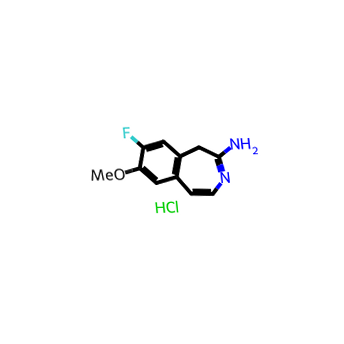 COc1cc2c(cc1F)CC(N)=NC=C2.Cl